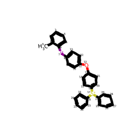 Cc1ccccc1[I+]c1ccc(Oc2ccc([S+](c3ccccc3)c3ccccc3)cc2)cc1